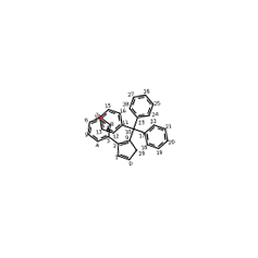 C1=CC(c2ccccc2)=C(C(c2ccccc2)(c2ccccc2)c2ccccc2)C1